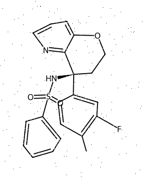 Cc1ccc([C@@]2(NS(=O)(=O)c3ccccc3)CCOc3cccnc32)cc1F